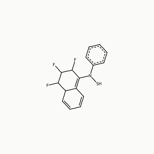 FC1[C]2C=CC=CC2=C(N(S)c2ccccc2)C(F)C1F